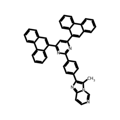 Cc1c(-c2ccc(-c3nc(-c4cc5ccccc5c5ccccc45)cc(-c4cc5ccccc5c5ccccc45)n3)cc2)nc2ccncn12